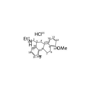 CCNCC(CC1CCCc2c(OC)cccc21)c1cccc(F)c1.Cl